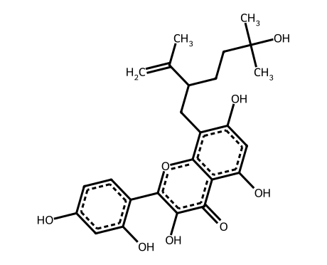 C=C(C)C(CCC(C)(C)O)Cc1c(O)cc(O)c2c(=O)c(O)c(-c3ccc(O)cc3O)oc12